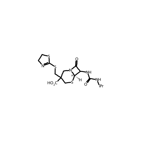 CC(C)NC(=O)NC1C(=O)N2CC(CSC3=NCCS3)(C(=O)O)CS[C@H]12